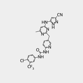 Cc1cc(Nc2cc(C#N)n[nH]2)nc(Cc2ccc(NC(=O)Nc3ccc(Cl)c(C(F)(F)F)c3)nc2)n1